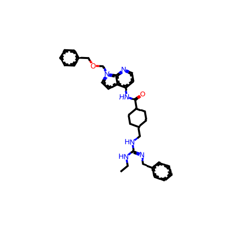 CCNC(=NCc1ccccc1)NCC1CCC(C(=O)Nc2ccnc3c2ccn3COCc2ccccc2)CC1